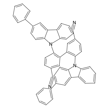 N#Cc1ccc(-n2c3ccccc3c3cc(-c4ccccc4)ccc32)c(-c2cc(C#N)ccc2-n2c3ccccc3c3cc(-c4ccccc4)ccc32)c1